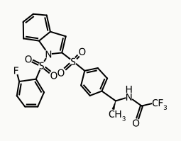 C[C@H](NC(=O)C(F)(F)F)c1ccc(S(=O)(=O)c2cc3ccccc3n2S(=O)(=O)c2ccccc2F)cc1